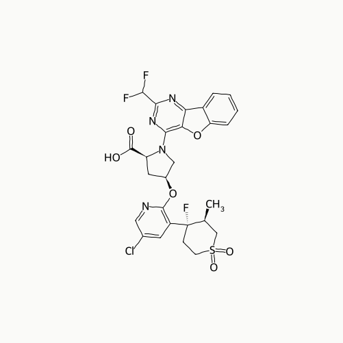 C[C@H]1CS(=O)(=O)CC[C@@]1(F)c1cc(Cl)cnc1O[C@H]1C[C@@H](C(=O)O)N(c2nc(C(F)F)nc3c2oc2ccccc23)C1